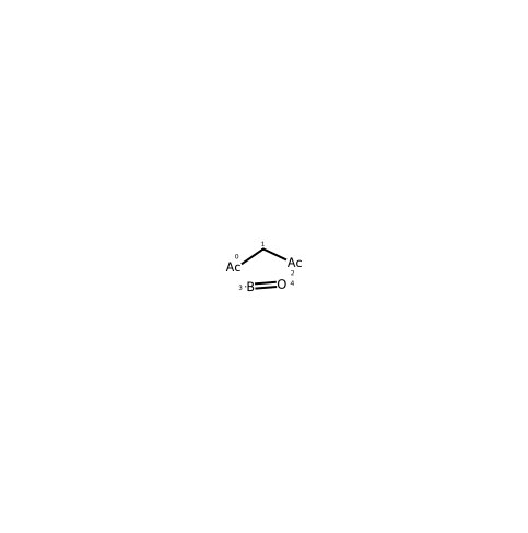 CC(=O)CC(C)=O.[B]=O